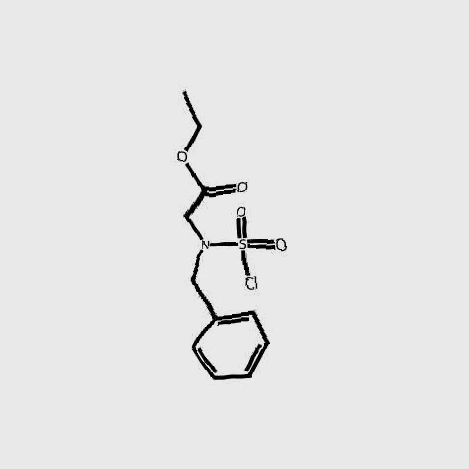 CCOC(=O)CN(Cc1ccccc1)S(=O)(=O)Cl